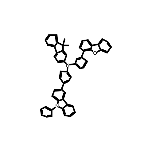 CC1(C)c2ccccc2-c2ccc(N(c3ccc(-c4ccc5c(c4)c4ccccc4n5-c4ccccc4)cc3)c3cccc(-c4cccc5c4oc4ccccc45)c3)cc21